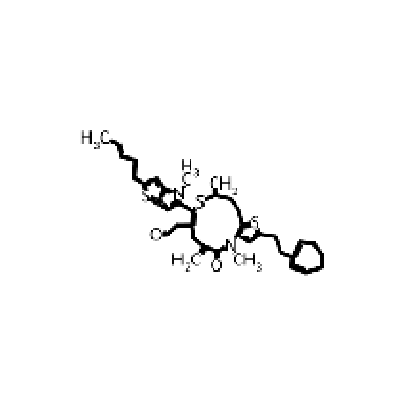 C=C1CCc2sc(CCC3=CCCCC=C3)cc2N(C)C(=O)C(=C)C/C(CC=O)=C(/c2cc3sc(CC/C=C/C)cc3n2C)S1